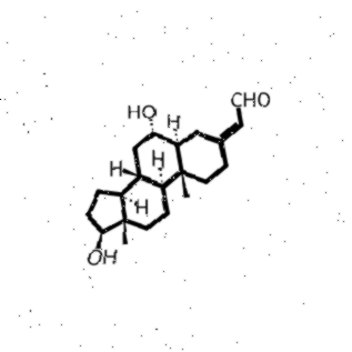 C[C@]12CC/C(=C/C=O)C[C@@H]1[C@@H](O)C[C@@H]1[C@@H]2CC[C@]2(C)[C@@H](O)CC[C@@H]12